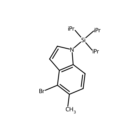 Cc1ccc2c(ccn2[Si](C(C)C)(C(C)C)C(C)C)c1Br